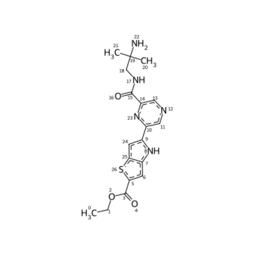 CCOC(=O)c1cc2[nH]c(-c3cncc(C(=O)NCC(C)(C)N)n3)cc2s1